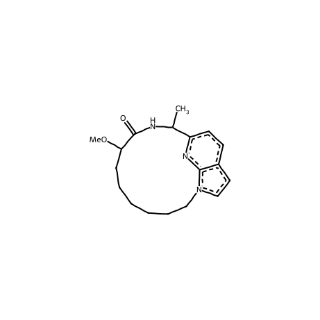 COC1CCCCCCn2ccc3ccc(nc32)C(C)NC1=O